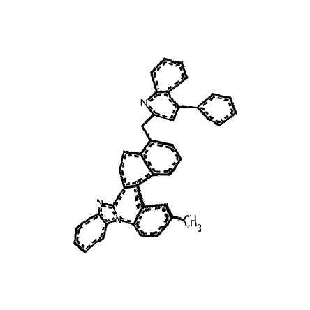 Cc1ccc2c(c1)c1c3cccc(Cc4cc(-c5ccccc5)c5ccccc5n4)c3ccc1c1nc3ccccc3n21